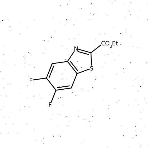 CCOC(=O)c1nc2cc(F)c(F)cc2s1